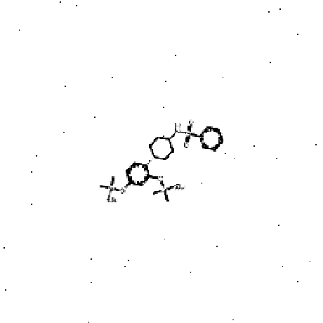 CC(C)(C)[Si](C)(C)Oc1ccc([C@H]2CC[C@H](NS(=O)(=O)c3ccccc3)CC2)c(O[Si](C)(C)C(C)(C)C)c1